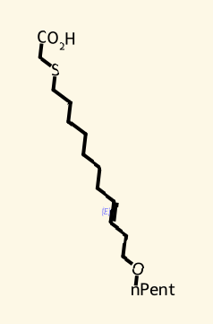 CCCCCOCC/C=C/CCCCCCCSCC(=O)O